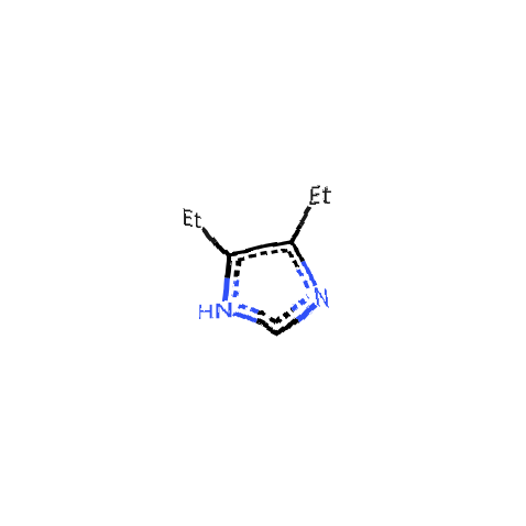 [CH2]Cc1[nH]cnc1CC